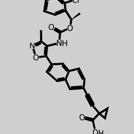 Cc1noc(-c2ccc3cc(C#CC4(C(=O)O)CC4)ccc3c2)c1NC(=O)O[C@H](C)c1ccccc1Cl